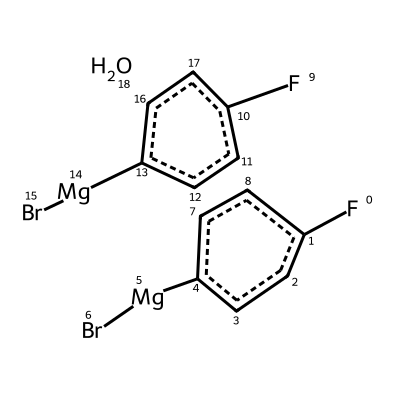 Fc1cc[c]([Mg][Br])cc1.Fc1cc[c]([Mg][Br])cc1.O